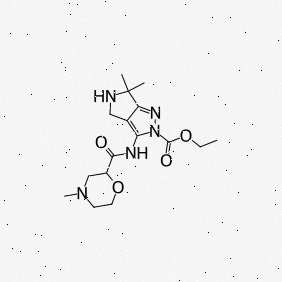 CCOC(=O)n1nc2c(c1NC(=O)C1CN(C)CCO1)CNC2(C)C